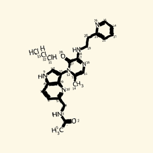 CC(=O)NCc1ccc2[nH]cc(-n3c(C)cnc(NCCc4ccccn4)c3=O)c2n1.Cl.Cl.Cl